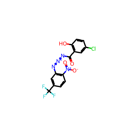 O=C(N=[N+]=Nc1cc(C(F)(F)F)ccc1[N+](=O)[O-])c1cc(Cl)ccc1O